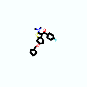 CN(C)c1sc2cc(OCc3ccccc3)ccc2c1C(=O)c1ccc(F)cc1